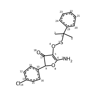 CC(C)(SOC1=C(N)OC(c2ccc(Cl)cc2)C1=O)c1ccccc1